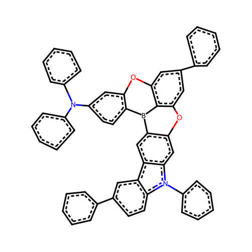 c1ccc(-c2cc3c4c(c2)Oc2cc5c(cc2B4c2ccc(N(c4ccccc4)c4ccccc4)cc2O3)c2cc(-c3ccccc3)ccc2n5-c2ccccc2)cc1